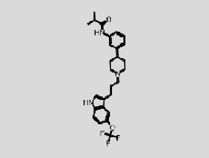 CC(C)C(=O)Nc1cccc(C2CCN(CCCc3c[nH]c4ccc(OC(F)(F)F)cc34)CC2)c1